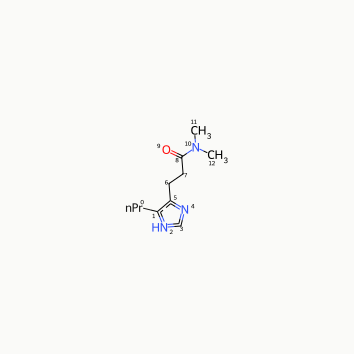 CCCc1[nH]cnc1CCC(=O)N(C)C